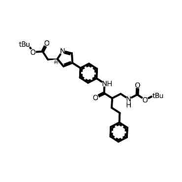 CC(C)(C)OC(=O)C[C@@H]1C=C(c2ccc(NC(=O)C(CCc3ccccc3)CNC(=O)OC(C)(C)C)cc2)C=N1